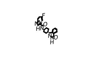 O=C(N[C@H]1CC[C@H](c2n[nH]c(=O)c3ccccc32)CC1)c1cnc2ccc(F)cn12